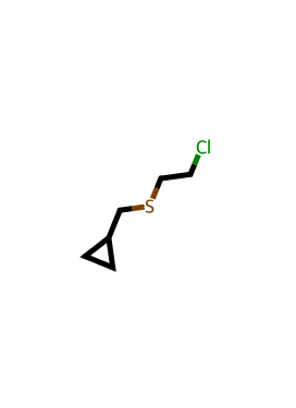 ClCCSCC1CC1